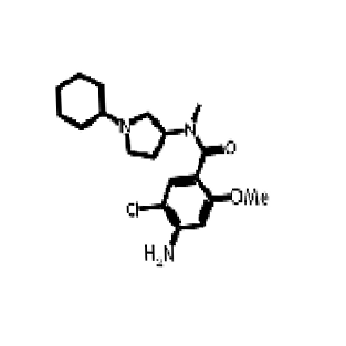 COc1cc(N)c(Cl)cc1C(=O)N(C)C1CCN(C2CCCCC2)C1